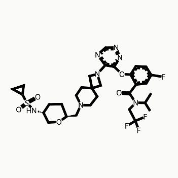 CC(C)N(CC(F)(F)F)C(=O)c1cc(F)ccc1Oc1nncnc1N1CC2(CCN(C[C@@H]3CC[C@@H](NS(=O)(=O)C4CC4)CO3)CC2)C1